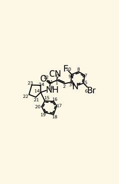 N#CC(=Cc1nc(Br)ccc1F)C(=O)NC1(c2ccccc2)CCCC1